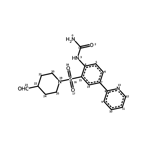 NC(=O)Nc1ccc(-c2ccccn2)cc1S(=O)(=O)N1CCC(C=O)CC1